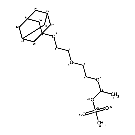 CC(OCCOCCOC12CC3CC(CC(C3)C1)C2)OS(C)(=O)=O